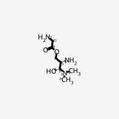 CN(C)[C@H](O)[C@@H](N)COC(=O)CN